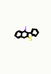 IC1c2ccccc2Cc2sc3ccccc3c21